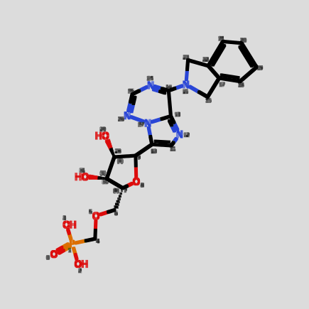 O=P(O)(O)COC[C@H]1OC(c2cnc3c(N4Cc5ccccc5C4)ncnn23)[C@H](O)[C@@H]1O